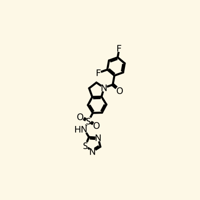 O=C(c1ccc(F)cc1F)N1CCc2cc(S(=O)(=O)Nc3ncns3)ccc21